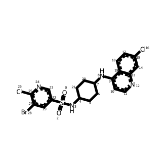 O=S(=O)(NC1CCC(Nc2ccnc3cc(Cl)ccc23)CC1)c1cnc(Cl)c(Br)c1